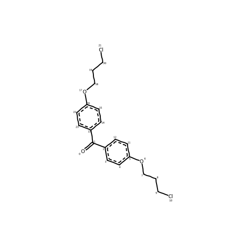 O=C(c1ccc(OCCCCl)cc1)c1ccc(OCCCCl)cc1